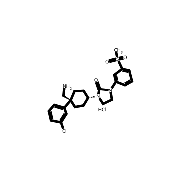 CS(=O)(=O)c1cccc(N2CCN([C@H]3CC[C@@](CN)(c4cccc(Cl)c4)CC3)C2=O)c1.Cl